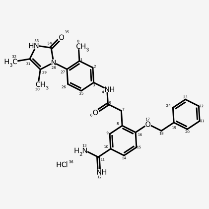 Cc1cc(NC(=O)Cc2cc(C(=N)N)ccc2OCc2ccccc2)ccc1-n1c(C)c(C)[nH]c1=O.Cl